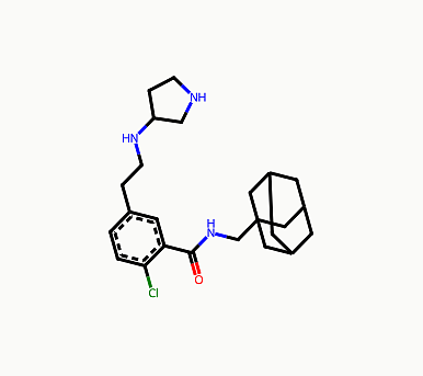 O=C(NCC12CC3CC(CC(C3)C1)C2)c1cc(CCNC2CCNC2)ccc1Cl